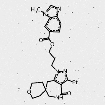 CCc1nn(CCCOC(=O)c2ccc3ncn(C)c3c2)c2c1C(=O)NCC1(CCOCC1)C2